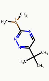 C[SH](C)c1ncc(C(C)(C)C)nn1